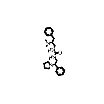 CN(C)C(CNC(=O)NCC(c1ccccc1)N1CCCC1)Cc1ccccc1